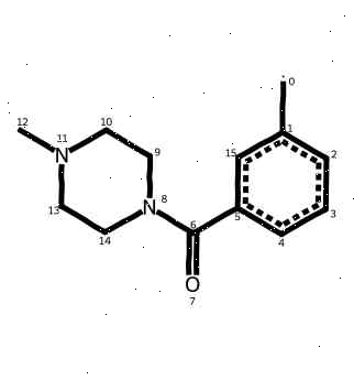 [CH2]c1cccc(C(=O)N2CCN(C)CC2)c1